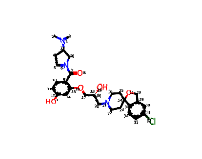 CN(C)C1CCN(C(=O)c2ccc(O)cc2OC[C@H](O)CN2CCC3(CC2)OCc2cc(Cl)ccc23)C1